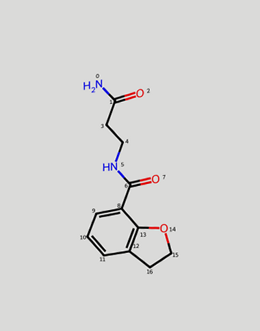 NC(=O)CCNC(=O)c1cccc2c1OCC2